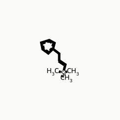 C[Si](C)(C)C=CCc1ccccc1